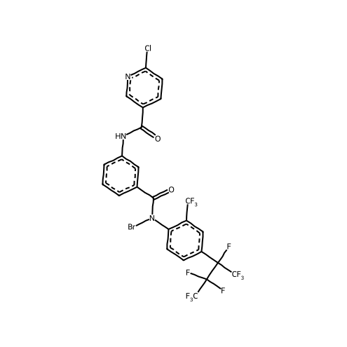 O=C(Nc1cccc(C(=O)N(Br)c2ccc(C(F)(C(F)(F)F)C(F)(F)C(F)(F)F)cc2C(F)(F)F)c1)c1ccc(Cl)nc1